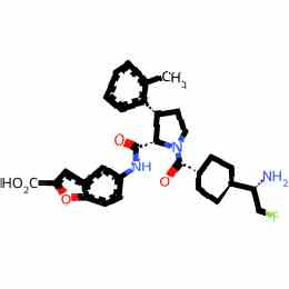 Cc1ccccc1[C@@H]1CCN(C(=O)[C@H]2CC[C@H]([C@H](N)CF)CC2)[C@@H]1C(=O)Nc1ccc2oc(C(=O)O)cc2c1